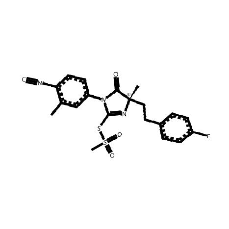 [C-]#[N+]c1ccc(N2C(=O)[C@](C)(CCc3ccc(F)cc3)N=C2SS(C)(=O)=O)cc1C